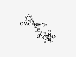 COc1ccccc1CCNCCCCC(=O)c1ccc2c(c1)n(C)c(=O)n2C.Cl